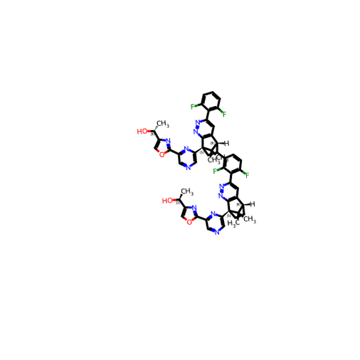 C[C@H](O)c1coc(-c2cncc([C@@]34CC[C@@H](c5cc(-c6c(F)ccc(C7C[C@]8(c9cncc(-c%10nc([C@@H](C)O)co%10)n9)c9nnc(-c%10c(F)cccc%10F)cc9[C@H]7C8(C)C)c6F)nnc53)C4(C)C)n2)n1